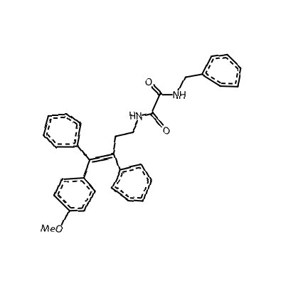 COc1ccc(C(=C(CCNC(=O)C(=O)NCc2ccccc2)c2ccccc2)c2ccccc2)cc1